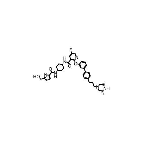 C[C@@H]1CN(CCCc2ccc(-c3cccc(Oc4ncc(F)cc4C(=O)N[C@H]4CC[C@@H](NC(=O)c5csc(CO)n5)CC4)c3)cc2)C[C@H](C)N1